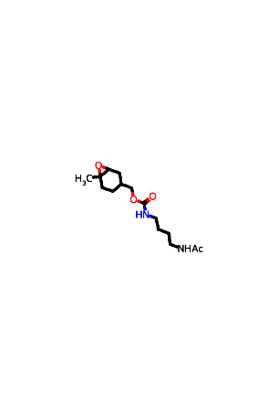 CC(=O)NCCCCNC(=O)OCC1CCC2(C)OC2C1